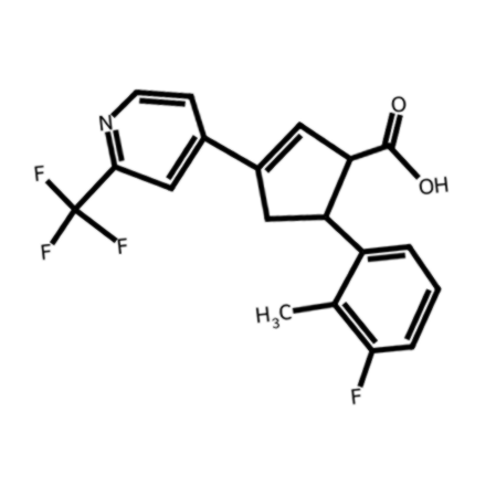 Cc1c(F)cccc1C1CC(c2ccnc(C(F)(F)F)c2)=CC1C(=O)O